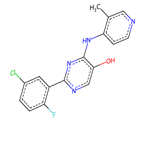 Cc1cnccc1Nc1nc(-c2cc(Cl)ccc2F)ncc1O